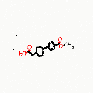 COC(=O)c1ccc(C2CCC(CC(=O)O)CC2)cc1